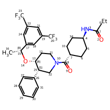 CCC(=O)N[C@H]1CC[C@H](C(=O)N2CC[C@@H](O[C@H](C)c3cc(C(F)(F)F)cc(C(F)(F)F)c3)[C@@H](c3ccccc3)C2)CC1